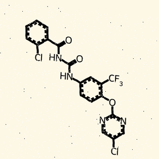 O=C(NC(=O)c1ccccc1Cl)Nc1ccc(Oc2ncc(Cl)cn2)c(C(F)(F)F)c1